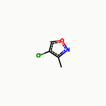 Cc1no[c]c1Cl